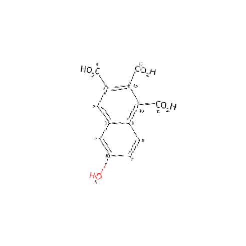 O=C(O)c1cc2cc(O)ccc2c(C(=O)O)c1C(=O)O